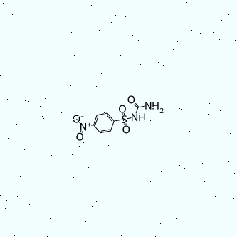 NC(=O)NS(=O)(=O)c1ccc([N+](=O)[O-])cc1